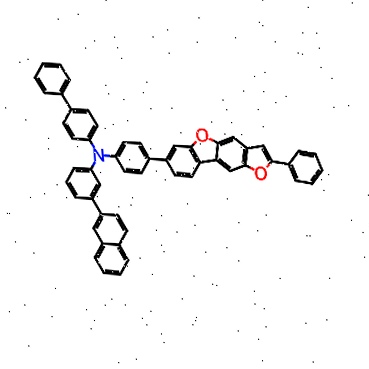 c1ccc(-c2ccc(N(c3ccc(-c4ccc5c(c4)oc4cc6cc(-c7ccccc7)oc6cc45)cc3)c3cccc(-c4ccc5ccccc5c4)c3)cc2)cc1